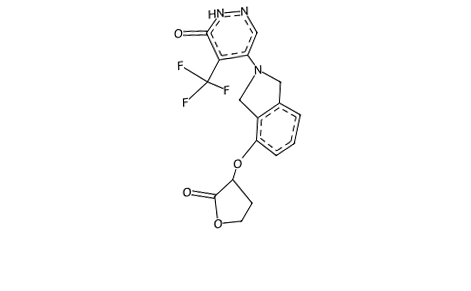 O=C1OCCC1Oc1cccc2c1CN(c1cn[nH]c(=O)c1C(F)(F)F)C2